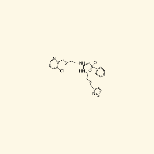 O=S(=O)(C=C(NCCSCc1ccsn1)NCCSCc1ncccc1Cl)c1ccccc1